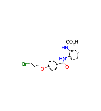 O=C(O)Nc1ccccc1NC(=O)c1ccc(OCCCBr)cc1